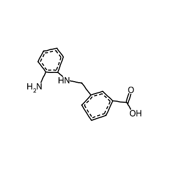 Nc1ccccc1NCc1cccc(C(=O)O)c1